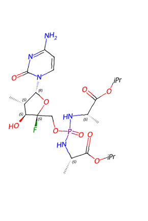 CC(C)OC(=O)[C@H](C)NP(=O)(N[C@@H](C)C(=O)OC(C)C)OC[C@@]1(F)O[C@@H](n2ccc(N)nc2=O)[C@@H](C)[C@@H]1O